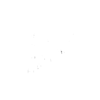 COC(=O)C(C)(CCC1(CCOCc2ccccc2)SCCS1)c1cccc(Br)c1